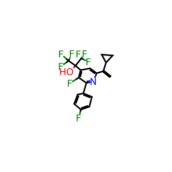 C=C(c1cc(C(O)(C(F)(F)F)C(F)(F)F)c(F)c(-c2ccc(F)cc2)n1)C1CC1